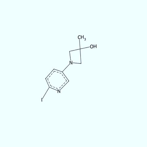 CC1(O)CN(c2ccc(I)nc2)C1